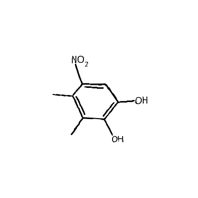 Cc1c([N+](=O)[O-])cc(O)c(O)c1C